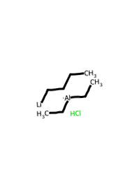 C[CH2][Al][CH2]C.Cl.[Li][CH2]CCC